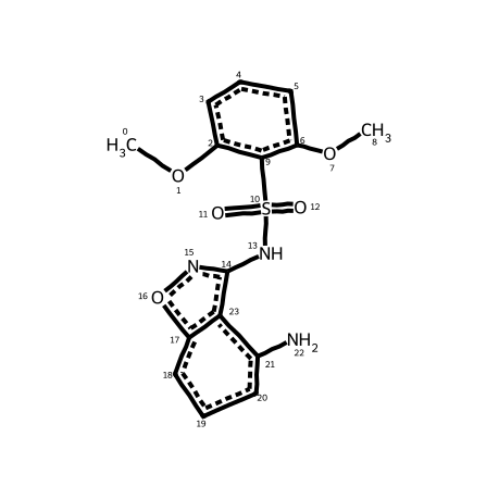 COc1cccc(OC)c1S(=O)(=O)Nc1noc2cccc(N)c12